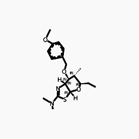 CC[C@H]1O[C@@H]2SC(N(C)C)=N[C@@H]2[C@@H](OCc2ccc(OC)cc2)[C@@H]1C